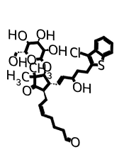 CC1(C)C(=O)[C@H](C/C=C\CCCC=O)[C@@H](/C=C/C(O)CCc2sc3ccccc3c2Cl)[C@@H]1OC1O[C@H](CO)[C@@H](O)[C@H](O)[C@H]1O